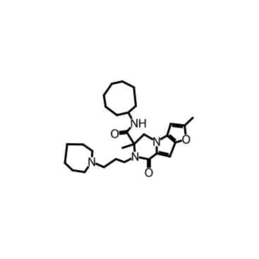 Cc1cc2c(cc3n2CC(C)(C(=O)NC2CCCCCCC2)N(CCCN2CCCCCC2)C3=O)o1